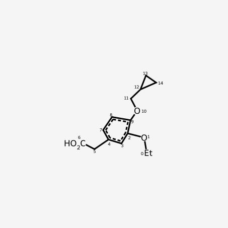 CCOc1cc(CC(=O)O)ccc1OCC1CC1